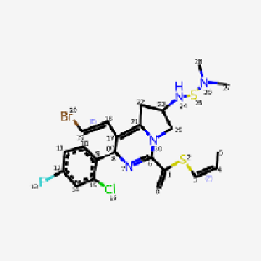 C=C(S/C=C\C)C1=N[C@@H](c2ccc(F)cc2Cl)C(/C=C/Br)=C2CC(NSN(C)C)CN12